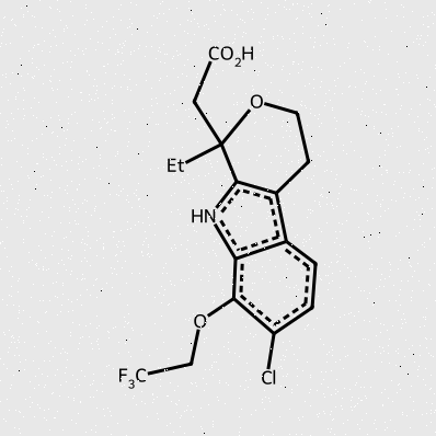 CCC1(CC(=O)O)OCCc2c1[nH]c1c(OCC(F)(F)F)c(Cl)ccc21